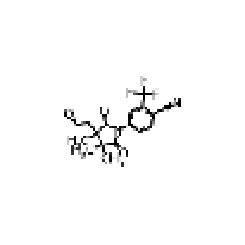 CC1(C)C(=O)N(c2ccc(C#N)c(C(F)(F)F)c2)C(=O)C1(C)CC=O